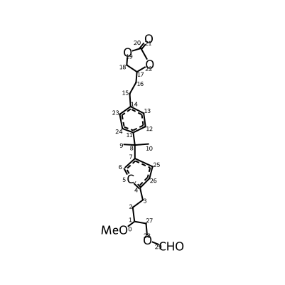 COC(CCc1ccc(C(C)(C)c2ccc(CCC3COC(=O)O3)cc2)cc1)COC=O